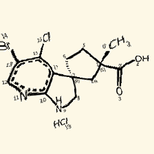 C[C@]1(C(=O)O)CC[C@@]2(CNc3ncc(Br)c(Cl)c32)C1.Cl